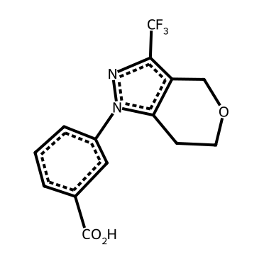 O=C(O)c1cccc(-n2nc(C(F)(F)F)c3c2CCOC3)c1